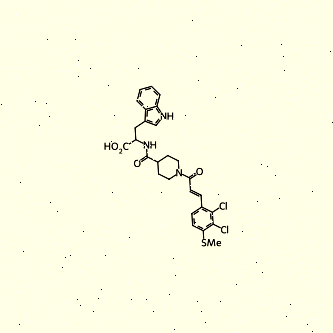 CSc1ccc(C=CC(=O)N2CCC(C(=O)NC(Cc3c[nH]c4ccccc34)C(=O)O)CC2)c(Cl)c1Cl